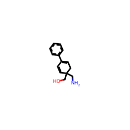 NCC1(CO)C=CC(c2ccccc2)=CC1